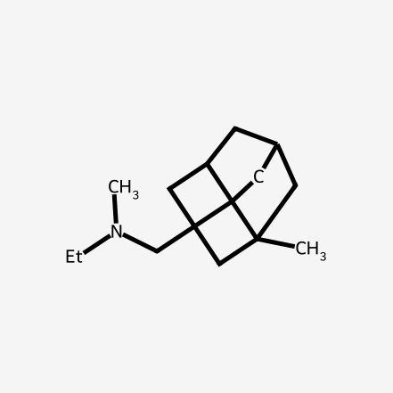 CCN(C)CC12CC3CC4CC(C)(C1)C32C4